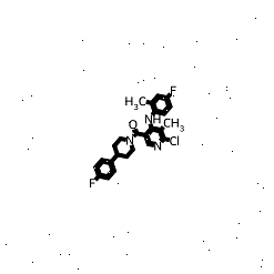 Cc1cc(F)ccc1Nc1c(C(=O)N2CCC(c3ccc(F)cc3)CC2)cnc(Cl)c1C